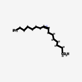 CC(C)CCCCCC/C=C\CCCCCCC(=O)O